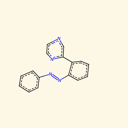 c1ccc(/N=N/c2ccccc2-c2cnccn2)cc1